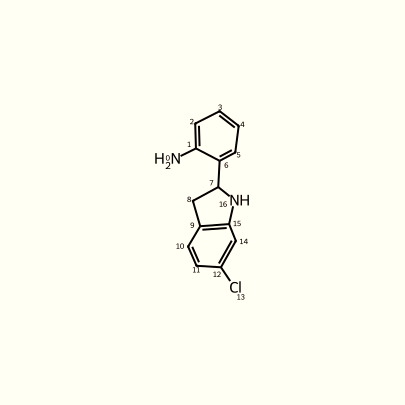 Nc1ccccc1C1Cc2ccc(Cl)cc2N1